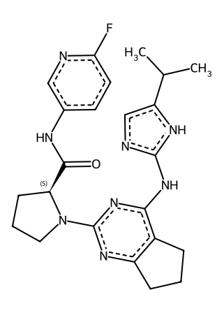 CC(C)c1cnc(Nc2nc(N3CCC[C@H]3C(=O)Nc3ccc(F)nc3)nc3c2CCC3)[nH]1